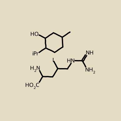 CC1CCC(C(C)C)C(O)C1.N=C(N)NCC(I)CC(N)C(=O)O